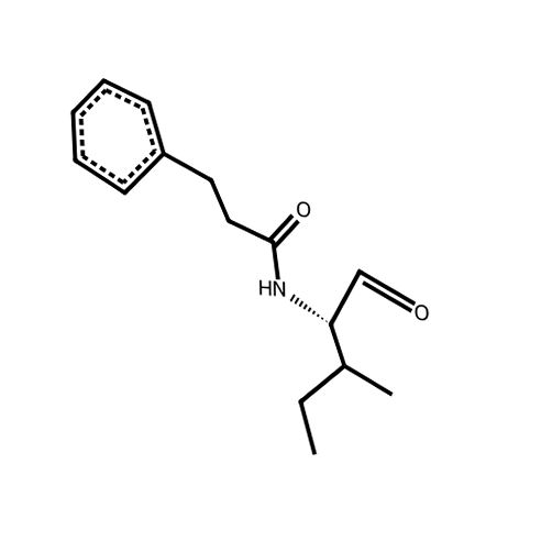 CCC(C)[C@@H](C=O)NC(=O)CCc1ccccc1